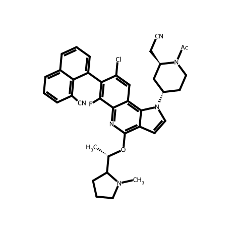 CC(=O)N1CC[C@H](n2ccc3c(O[C@@H](C)C4CCCN4C)nc4c(F)c(-c5cccc6cccc(C#N)c56)c(Cl)cc4c32)C[C@H]1CC#N